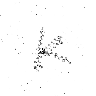 CCCCCCCCCC(CCCCCCCC(=O)OC)OP(=O)(O)C(CCCCCCCCC)CCCCCCCC(=O)OC